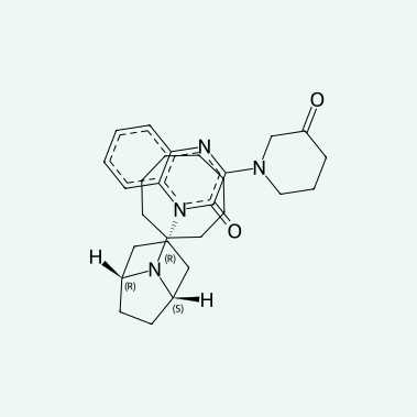 O=C1CCCN(c2nc3ccccc3n([C@H]3C[C@H]4CC[C@@H](C3)N4C3CCCCCCC3)c2=O)C1